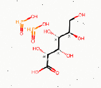 O=C(O)[C@H](O)[C@@H](O)[C@H](O)[C@H](O)CO.O=[PH2]O.O=[PH2]O